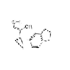 CC=C(O)C1(c2ccc3c(c2)CCC3)CC1